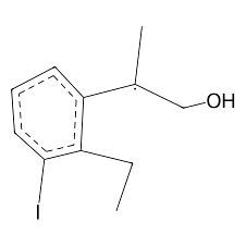 CCc1c(I)cccc1[C](C)CO